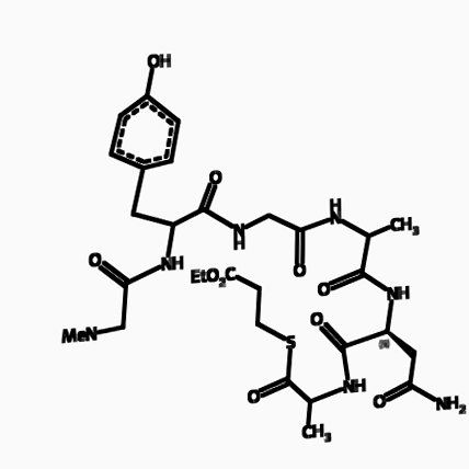 CCOC(=O)CCSC(=O)C(C)NC(=O)[C@H](CC(N)=O)NC(=O)C(C)NC(=O)CNC(=O)C(Cc1ccc(O)cc1)NC(=O)CNC